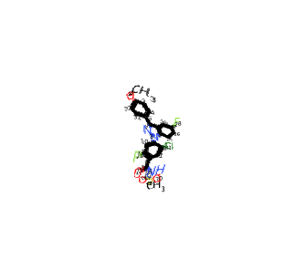 COc1ccc(-c2nn(-c3cc(F)c(C(=O)NS(C)(=O)=O)cc3Cl)c3ccc(F)cc23)cc1